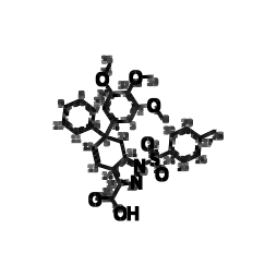 COc1cc(C2(c3ccccc3)C=Cc3c(C(=O)O)nn(S(=O)(=O)c4ccc(C)cc4)c3C2)cc(OC)c1OC